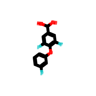 OC(O)c1cc(F)c(Oc2cccc(F)c2)c(F)c1